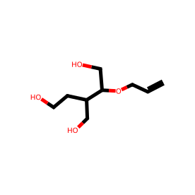 C=CCOC(CO)C(CO)CCO